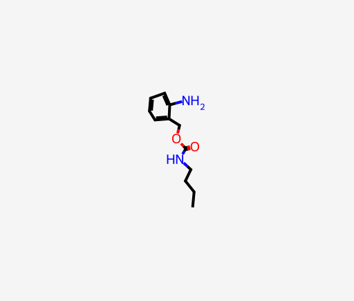 CCCCNC(=O)OCc1ccccc1N